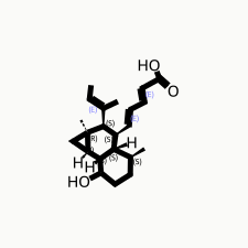 C/C=C(\C)[C@H]1[C@@H](/C=C/C=C/C(=O)O)[C@H]2[C@H](C(O)CC[C@@H]2C)[C@H]2C[C@]21C